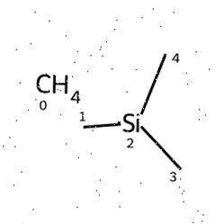 C.C[Si](C)C